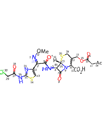 CO/N=C(\C(=O)N[C@@H]1C(=O)N2C(C(=O)O)=C(COC(=O)CC(C)=O)CS[C@@H]12)c1csc(NC(=O)CCl)n1